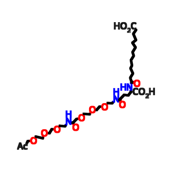 CC(=O)COCCOCCOCCNC(=O)COCCOCCOCCNC(=O)CC[C@H](NC(=O)CCCCCCCCCCCCC(=O)O)C(=O)O